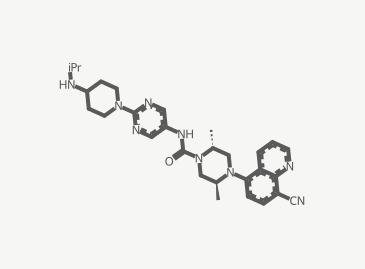 CC(C)NC1CCN(c2ncc(NC(=O)N3C[C@H](C)N(c4ccc(C#N)c5ncccc45)C[C@H]3C)cn2)CC1